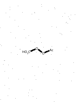 CC(=O)OOC(=O)O